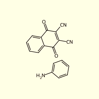 N#CC1=C(C#N)C(=O)c2ccccc2C1=O.Nc1ccccc1